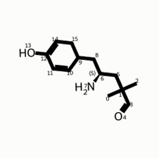 CC(C)(C=O)C[C@@H](N)CC1C=CC(O)=CC1